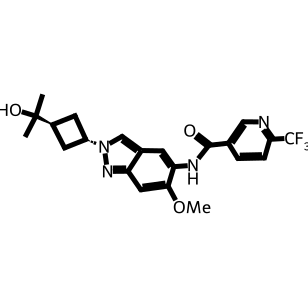 COc1cc2nn([C@H]3C[C@H](C(C)(C)O)C3)cc2cc1NC(=O)c1ccc(C(F)(F)F)nc1